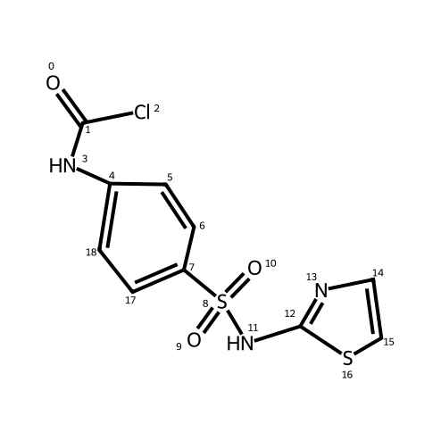 O=C(Cl)Nc1ccc(S(=O)(=O)Nc2nccs2)cc1